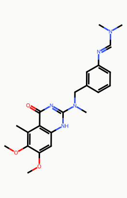 COc1cc2[nH]c(N(C)Cc3cccc(/N=C/N(C)C)c3)nc(=O)c2c(C)c1OC